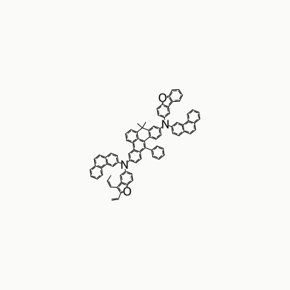 C=Cc1oc2ccc(N(c3ccc4ccc5ccccc5c4c3)c3ccc4c(-c5ccccc5)c5c6c(cccc6c4c3)C(C)(C)c3cc(N(c4ccc6ccc7ccccc7c6c4)c4ccc6oc7ccccc7c6c4)ccc3-5)cc2c1/C=C\C